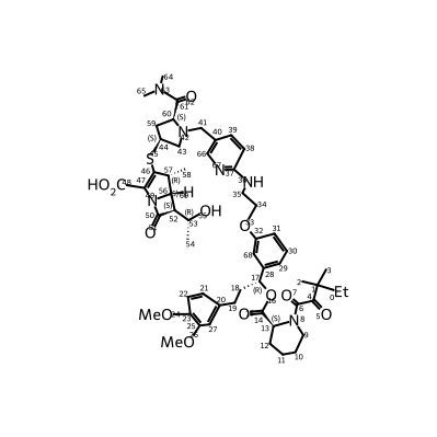 CCC(C)(C)C(=O)C(=O)N1CCCC[C@H]1C(=O)O[C@H](CCc1ccc(OC)c(OC)c1)c1cccc(OCCNc2ccc(CN3C[C@@H](SC4=C(C(=O)O)N5C(=O)[C@H]([C@@H](C)O)[C@H]5[C@H]4C)C[C@H]3C(=O)N(C)C)cn2)c1